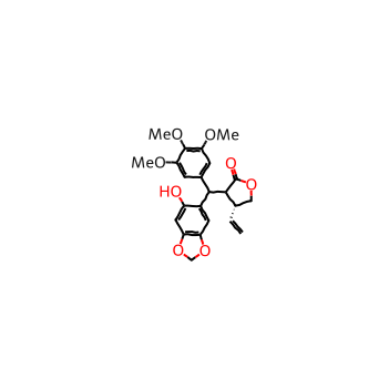 C=C[C@H]1COC(=O)C1C(c1cc(OC)c(OC)c(OC)c1)c1cc2c(cc1O)OCO2